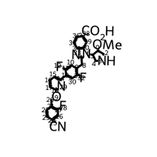 CO[C@H]1CNC[C@H]1n1c(Cc2cc(F)c(-c3cccc(OCc4ccc(C#N)cc4F)n3)cc2F)nc2ccc(C(=O)O)cc21